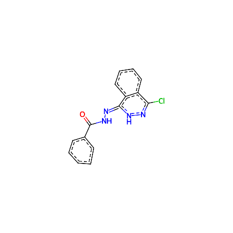 O=C(NN=c1[nH]nc(Cl)c2ccccc12)c1ccccc1